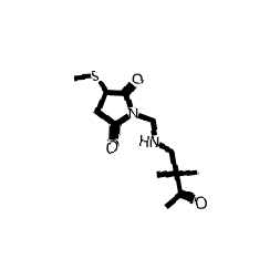 CSC1CC(=O)N(CNCC(C)(C)C(C)=O)C1=O